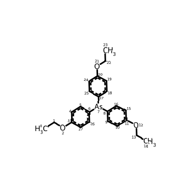 CCOc1ccc([As](c2ccc(OCC)cc2)c2ccc(OCC)cc2)cc1